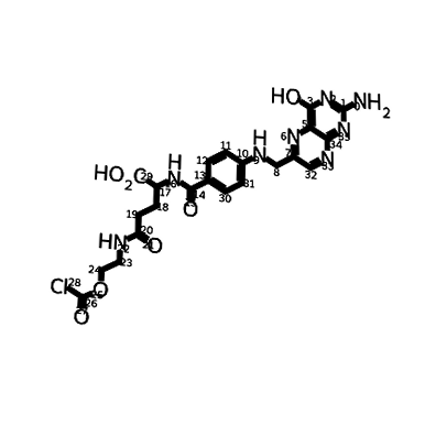 Nc1nc(O)c2nc(CNc3ccc(C(=O)NC(CCC(=O)NCCOC(=O)Cl)C(=O)O)cc3)cnc2n1